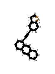 C(#Cc1cccc2cc3ccccc3cc12)c1ccc2sccc2c1